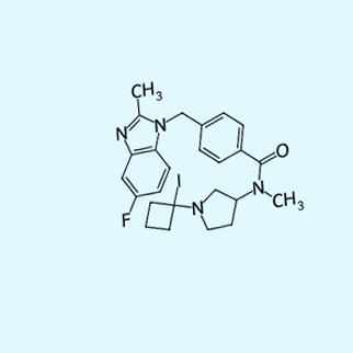 Cc1nc2cc(F)ccc2n1Cc1ccc(C(=O)N(C)C2CCN(C3(I)CCC3)C2)cc1